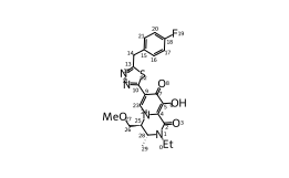 CCN1C(=O)c2c(O)c(=O)c(-c3nnc(Cc4ccc(F)cc4)s3)cn2[C@H](COC)[C@H]1C